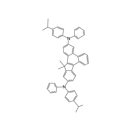 CC(C)c1ccc(N(c2ccccc2)c2ccc3c(c2)C(C)(C)c2c-3c3ccccc3c3cc(N(c4ccccc4)c4ccc(C(C)C)cc4)ccc23)cc1